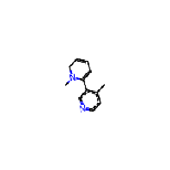 Cc1ccncc1C1=CC=CCN1C